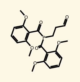 COc1cccc(OC)c1C(=O)P(CCC=O)C(=O)c1c(OC)cccc1OC